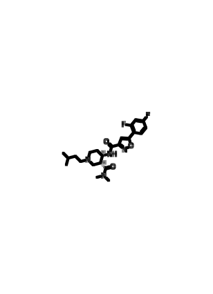 CC(C)CCN1CC[C@@H](NC(=O)c2cc(-c3ccc(F)cc3F)on2)[C@H](C(=O)N(C)C)C1